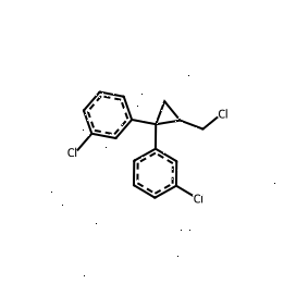 ClCC1CC1(c1cccc(Cl)c1)c1cccc(Cl)c1